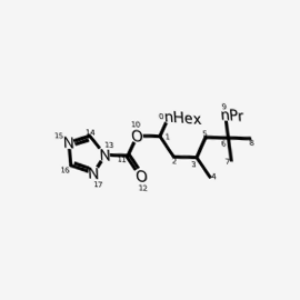 CCCCCCC(CC(C)CC(C)(C)CCC)OC(=O)n1cncn1